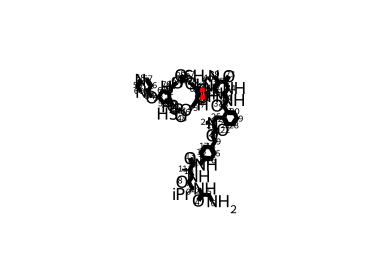 CC(C)[C@H](NC(=O)CN)C(=O)N[C@@H](C)C(=O)Nc1ccc(COC(=O)N(C)Cc2ccccc2C(=O)Nc2nc3c(ncn3[C@@H]3O[C@@H]4CO[P@@](=O)(S)O[C@H]5C[C@H](Oc6ccncn6)C[C@@H]5CO[P@@](=O)(S)O[C@@H]3[C@@H]4O)c(=O)[nH]2)cc1